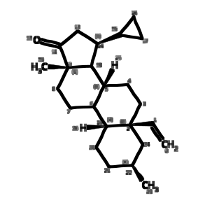 C=C[C@]12CC[C@@H]3C(CC[C@]4(C)C(=O)C[C@@H](C5CC5)C34)[C@H]1CC[C@H](C)C2